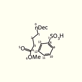 CCCCCCCCCCCCCC(=O)OC.O=S(=O)(O)c1ccccc1